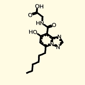 CCCCCCc1cc(O)c(C(=O)NCC(=O)O)c2ncnn12